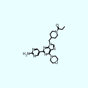 CCC(=O)N1CCC(Cn2cnc3c(N4CCOCC4)nc(-c4cnc(N)nc4)nc32)CC1